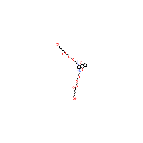 O=C(CCCCCCO)OCCOCCOCCCNc1ccc(NCCCOCCOCCOC(=O)CCCCCCO)c2c1C(=O)c1ccccc1C2=O